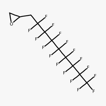 FC(F)(F)C(F)(F)C(F)(F)C(F)(F)C(F)(F)C(F)(F)C(F)(F)C(F)(F)CC1CO1